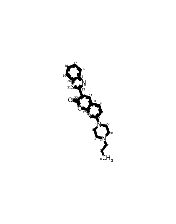 CCCN1CCN(c2ccc3cc(-c4nc5ccccc5s4)c(=O)oc3n2)CC1